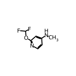 CNc1ccnc(OC(F)F)c1